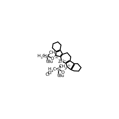 CC(C)(C)[Si](C)(C)O[C@@H]1C2=C(CCCC2)C2=[C]1[Zr+2][C]1=C(CC2)C2=C(CCCC2)[C@@H]1O[Si](C)(C)C(C)(C)C.[Cl-].[Cl-]